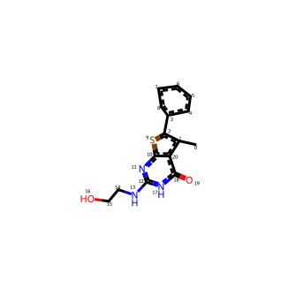 Cc1c(-c2ccccc2)sc2nc(NCCO)[nH]c(=O)c12